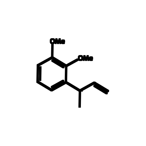 C=C[C](C)c1cccc(OC)c1OC